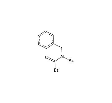 CCC(=O)N(Cc1ccccc1)C(C)=O